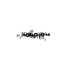 CC[C@@H](Oc1ccc(C(=O)NS(=O)(=O)N2CCN(CC(C)(C)F)CC2)c(F)c1F)c1ccc(OCC2CC2)cn1